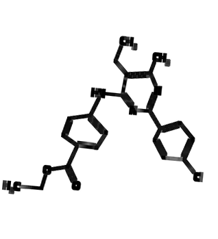 CCOC(=O)c1ccc(Nc2nc(-c3ccc(Cl)cc3)nc(C)c2CC)cc1